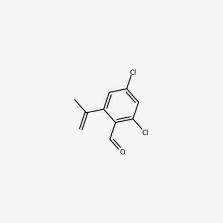 C=C(C)c1cc(Cl)cc(Cl)c1C=O